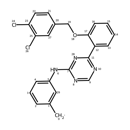 [CH2]c1cccc(Nc2ncnc(-c3ccccc3OCc3ccc(Cl)c(Cl)c3)n2)c1